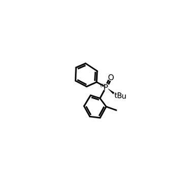 Cc1ccccc1[P@@](=O)(c1ccccc1)C(C)(C)C